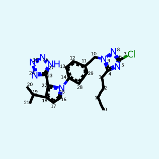 CCCCc1nc(Cl)nn1Cc1ccc(-n2ccc(C(C)C)c2-c2nnn[nH]2)cc1